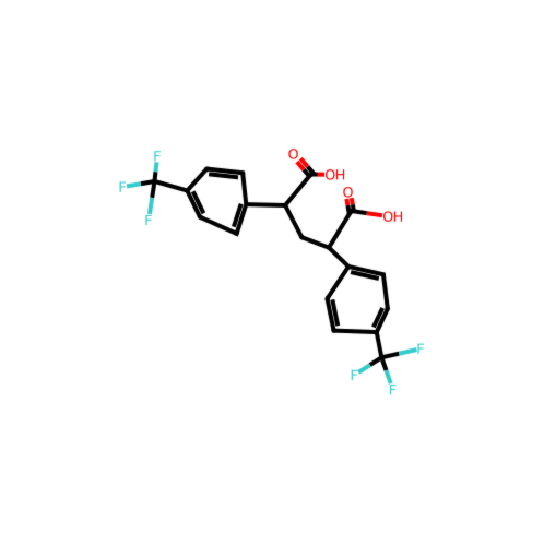 O=C(O)C(CC(C(=O)O)c1ccc(C(F)(F)F)cc1)c1ccc(C(F)(F)F)cc1